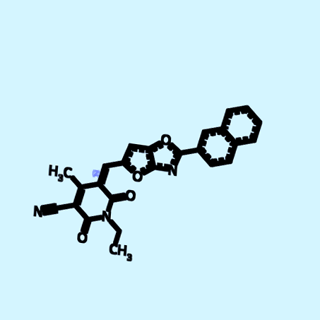 CCN1C(=O)C(C#N)=C(C)/C(=C/c2cc3oc(-c4ccc5ccccc5c4)nc3o2)C1=O